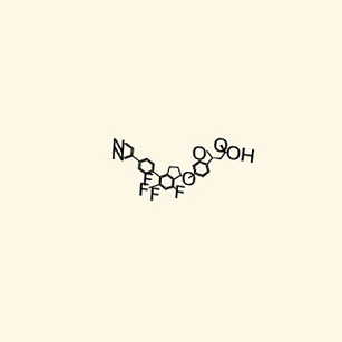 O=C(O)C[C@@H]1COc2cc(O[C@@H]3CCc4c(-c5ccc(-c6ccnnc6)cc5)c(C(F)(F)F)cc(F)c43)ccc21